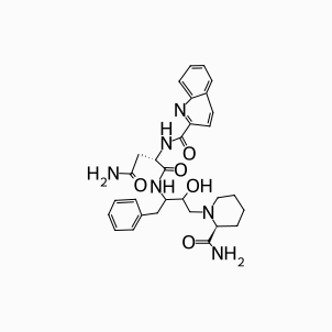 NC(=O)C[C@H](NC(=O)c1ccc2ccccc2n1)C(=O)NC(Cc1ccccc1)C(O)CN1CCCC[C@H]1C(N)=O